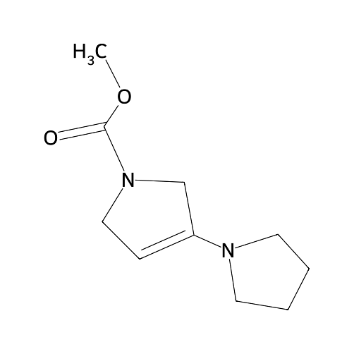 COC(=O)N1CC=C(N2CCCC2)C1